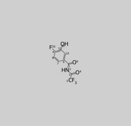 O=C(NC(=O)C(F)(F)F)c1ccc(F)c(O)c1